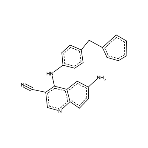 N#Cc1cnc2ccc(N)cc2c1Nc1ccc(Cc2ccccc2)cc1